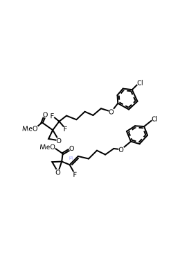 COC(=O)C1(/C(F)=C/CCCCOc2ccc(Cl)cc2)CO1.COC(=O)C1(C(F)(F)CCCCCOc2ccc(Cl)cc2)CO1